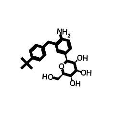 CC(C)(C)c1ccc(Cc2cc([C@@H]3O[C@H](CO)[C@@H](O)[C@H](O)[C@H]3O)ccc2N)cc1